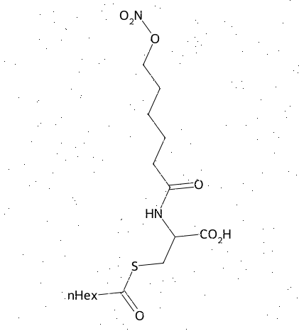 CCCCCCC(=O)SCC(NC(=O)CCCCCO[N+](=O)[O-])C(=O)O